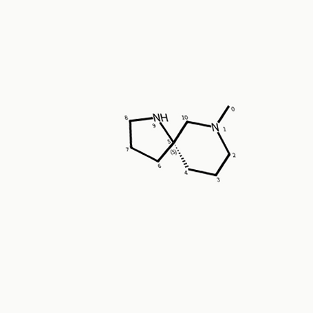 CN1CCC[C@@]2(CCCN2)C1